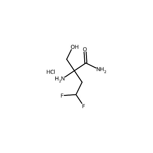 Cl.NC(=O)C(N)(CO)CC(F)F